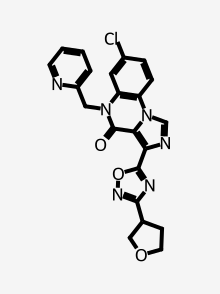 O=c1c2c(-c3nc(C4CCOC4)no3)ncn2c2ccc(Cl)cc2n1Cc1ccccn1